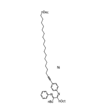 CCCCCCCCCCCCCCCCCCCCCCCCCCCC#Cc1ccc(N=C(CCCCCCCC)C(CCCC)=Nc2ccccc2)cc1.[Ni]